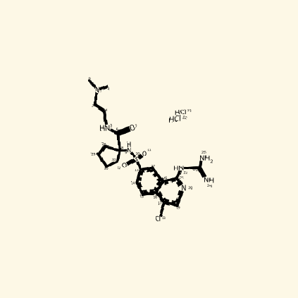 CN(C)CCNC(=O)C1(NS(=O)(=O)c2ccc3c(Cl)cnc(NC(=N)N)c3c2)CCCC1.Cl.Cl